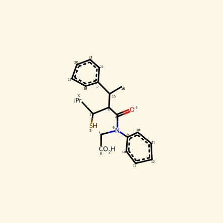 CC(C)C(S)C(C(=O)N(CC(=O)O)c1ccccc1)C(C)c1ccccc1